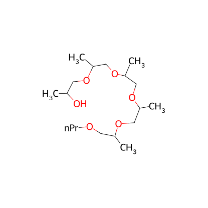 CCCOCC(C)OCC(C)OCC(C)OCC(C)OCC(C)O